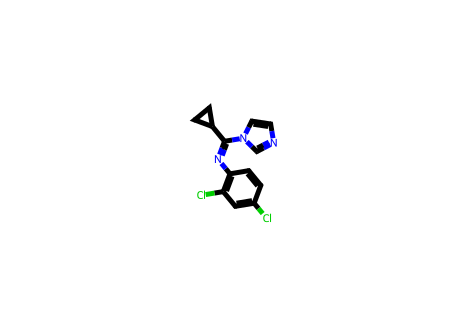 Clc1ccc(N=C(C2CC2)n2ccnc2)c(Cl)c1